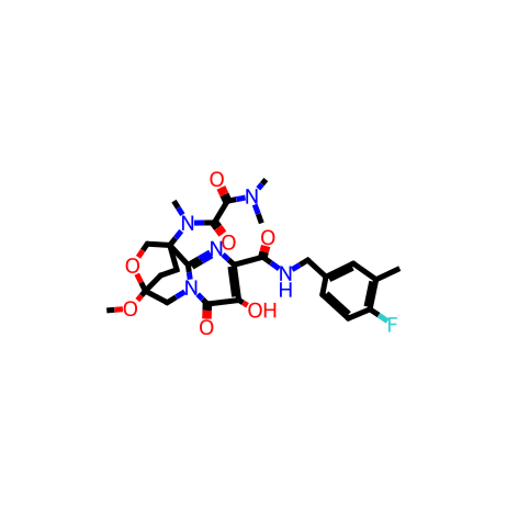 COC12CCC(N(C)C(=O)C(=O)N(C)C)(CO1)c1nc(C(=O)NCc3ccc(F)c(C)c3)c(O)c(=O)n1C2